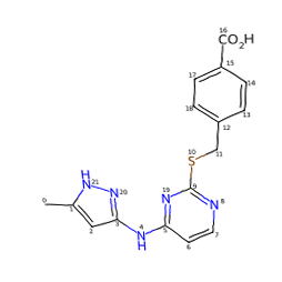 Cc1cc(Nc2ccnc(SCc3ccc(C(=O)O)cc3)n2)n[nH]1